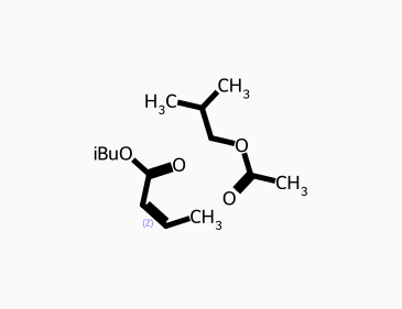 C/C=C\C(=O)OCC(C)C.CC(=O)OCC(C)C